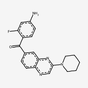 Nc1ccc(C(=O)c2ccc3ncc(N4CCCCC4)nc3c2)c(F)c1